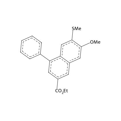 CCOC(=O)c1cc(-c2ccccc2)c2cc(SC)c(OC)cc2c1